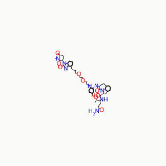 C[C@@H](OCc1ccc(CCCOCCOCCCc2cccc3c2n(C)c(=O)n3C2CCC(=O)N(C)C2=O)cc1)[C@H](CCC(N)=O)NC(O)[C@@H]1Cc2cccc3c2N1C(=O)[C@@H](N)CC3